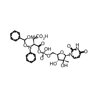 COC(ON(c1ccccc1)[C@@H](CC(=O)O)C(=O)OP(=O)(O)OC[C@H]1O[C@@H](n2ccc(=O)[nH]c2=O)[C@](C)(O)[C@@H]1O)c1ccccc1